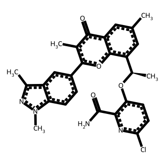 Cc1cc([C@@H](C)Oc2ccc(Cl)nc2C(N)=O)c2oc(-c3ccc4c(c3)c(C)nn4C)c(C)c(=O)c2c1